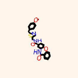 COc1ccc(Cc2ncc(CNC(=O)c3ccc4c(c3)NC(=O)c3ccccc3O4)s2)cc1